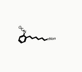 CCCCCCCCCCCCCCCc1ccccc1N=C=O